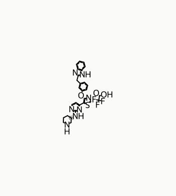 O=C(O)C(F)(F)F.c1cc(Cc2nc3ccccc3[nH]2)cc(Oc2ncsc2-c2ccnc(N[C@H]3CCCNC3)n2)c1